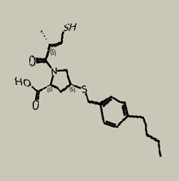 CCCCc1ccc(CS[C@H]2C[C@@H](C(=O)O)N(C(=O)[C@H](C)CS)C2)cc1